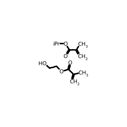 C=C(C)C(=O)OC(C)C.C=C(C)C(=O)OCCO